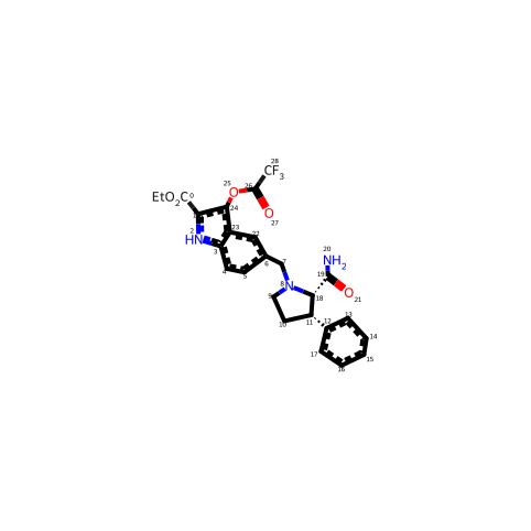 CCOC(=O)c1[nH]c2ccc(CN3CC[C@@H](c4ccccc4)[C@H]3C(N)=O)cc2c1OC(=O)C(F)(F)F